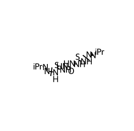 CC(C)/N=N/C(C)(C)NC(=S)NNC(=O)NNC(=S)NC(C)(C)/N=N/C(C)C